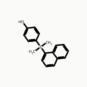 CS(C)(c1ccc(O)cc1)c1cccc2ccccc12